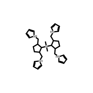 C[Si](C)(C1C(C[SH]2C=CC=C2)CCC1C[SH]1C=CC=C1)C1C(C[SH]2C=CC=C2)CCC1C[SH]1C=CC=C1